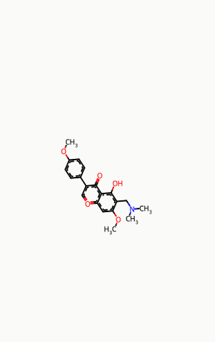 COc1ccc(-c2coc3cc(OC)c(CN(C)C)c(O)c3c2=O)cc1